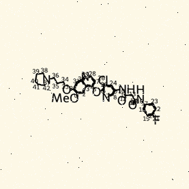 COc1cc2c(Oc3ncc(NC(=O)CC(=O)Nc4ccc(F)cc4)cc3Cl)ccnc2cc1OCCCN1CCCCC1